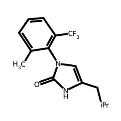 Cc1cccc(C(F)(F)F)c1-n1cc(CC(C)C)[nH]c1=O